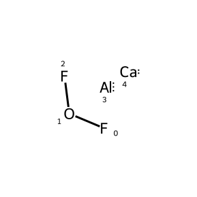 FOF.[Al].[Ca]